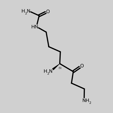 NCCC(=O)[C@@H](N)CCCNC(N)=O